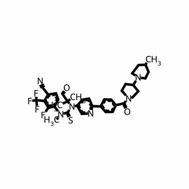 CC1CCN(C2CCN(C(=O)c3ccc(-c4ccc(N(C(=S)N(C)c5ccc(C#N)c(C(F)(F)F)c5F)C(C)(C)C=O)cn4)cc3)CC2)CC1